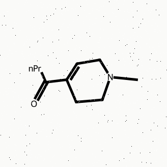 CCCC(=O)C1=CCN(C)CC1